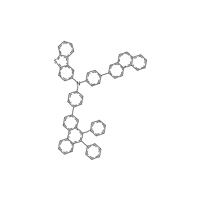 c1ccc(-c2c(-c3ccccc3)c3cc(-c4ccc(N(c5ccc(-c6ccc7c(ccc8ccccc87)c6)cc5)c5ccc6sc7ccccc7c6c5)cc4)ccc3c3ccccc23)cc1